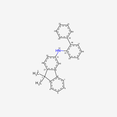 CC1(C)c2ccccc2-c2cc(Nc3ccccc3-c3ccccc3)ccc21